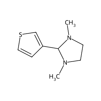 CN1CCN(C)C1c1ccsc1